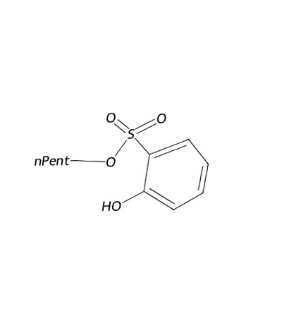 CCCCCOS(=O)(=O)c1ccccc1O